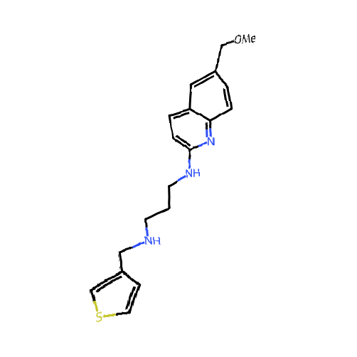 COCc1ccc2nc(NCCCNCc3ccsc3)ccc2c1